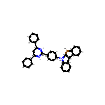 c1ccc(-c2cc(-c3ccccc3)nc(-c3ccc(-n4c5ccccc5c5c6ccccc6sc54)cc3)n2)cc1